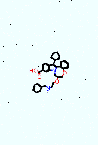 CN(CCO[C@@H]1COc2ccccc2-c2c(C3CCCCC3)c3ccc(C(=O)O)cc3n2C1)Cc1ccccc1